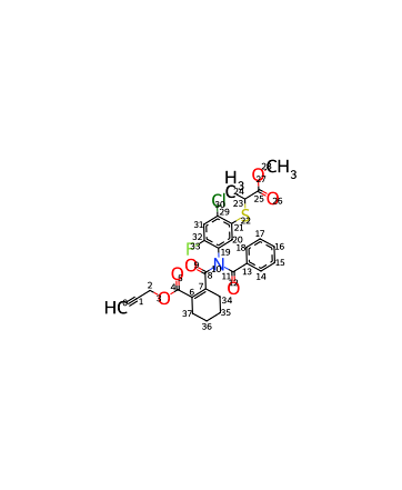 C#CCOC(=O)C1=C(C(=O)N(C(=O)c2ccccc2)c2cc(SC(C)C(=O)OC)c(Cl)cc2F)CCCC1